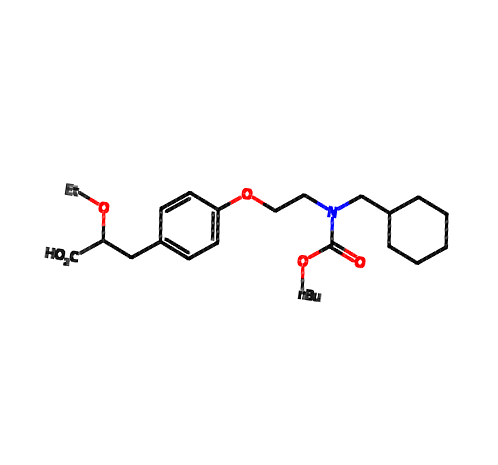 CCCCOC(=O)N(CCOc1ccc(CC(OCC)C(=O)O)cc1)CC1CCCCC1